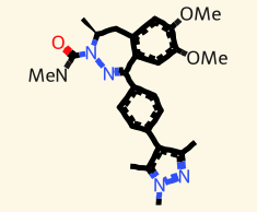 CNC(=O)N1N=C(c2ccc(-c3c(C)nn(C)c3C)cc2)c2cc(OC)c(OC)cc2C[C@@H]1C